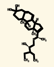 CCC(CC)[C@H](O)CS[C@@H](C)C1=CC[C@H]2C3=CC=C4CC(O)(O)CC[C@]4(C)[C@H]3CC[C@]12C